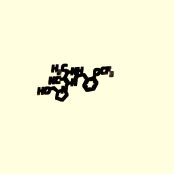 C=C1NC(Cc2ccccc2OC(F)(F)F)=NC(N2CCC[C@H]2CO)=C1C#N